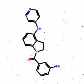 Nc1cccc(C(=O)N2CCc3c(Nc4ccncc4)cccc32)c1